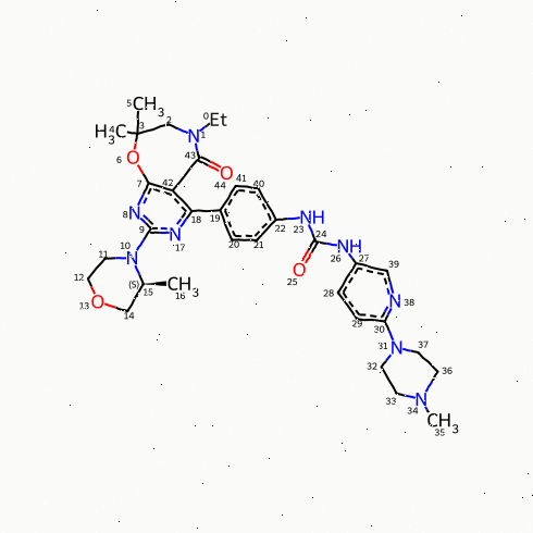 CCN1CC(C)(C)Oc2nc(N3CCOC[C@@H]3C)nc(-c3ccc(NC(=O)Nc4ccc(N5CCN(C)CC5)nc4)cc3)c2C1=O